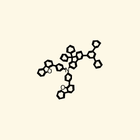 c1ccc(-c2cc(-c3ccccc3)cc(-c3ccc4c(c3)-c3ccc(N(c5ccc(-c6cccc7c6oc6ccccc67)cc5)c5ccc(-c6cccc7c6oc6ccccc67)cc5)cc3C4(c3ccccc3)c3ccccc3)c2)cc1